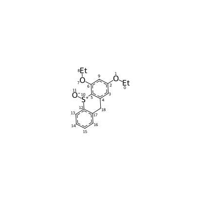 CCOc1cc2c(c(OCC)c1)[S+]([O-])c1ccccc1C2